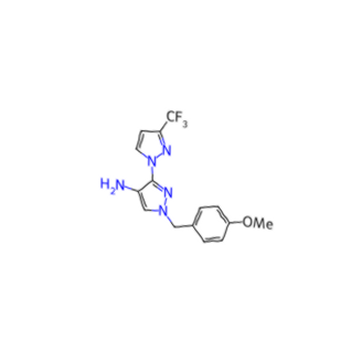 COc1ccc(Cn2cc(N)c(-n3ccc(C(F)(F)F)n3)n2)cc1